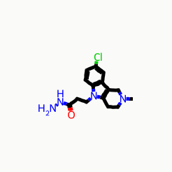 CN1CCc2c(c3cc(Cl)ccc3n2CCC(=O)NN)C1